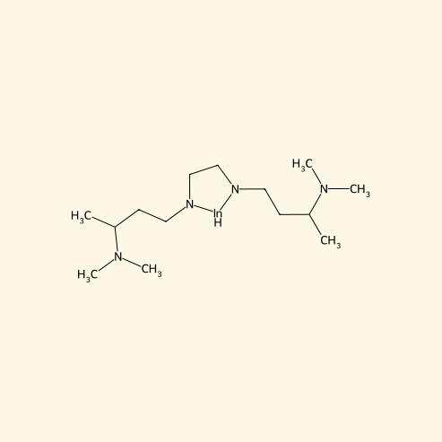 CC(CC[N]1CC[N](CCC(C)N(C)C)[InH]1)N(C)C